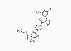 CCOC(=O)c1nc(N2CCN(C(=O)N3N=CCC3c3cc(P)cc(P)c3)CC2)ncc1C